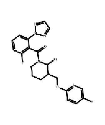 CCC1C(COc2ccc(F)cn2)CCCN1C(=O)c1c(F)cccc1-n1nccn1